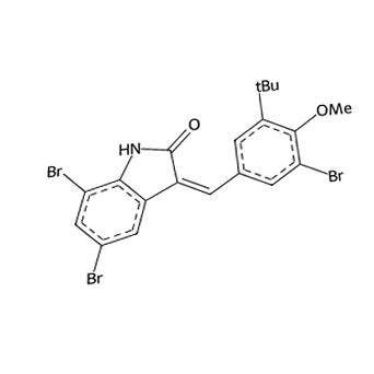 COc1c(Br)cc(C=C2C(=O)Nc3c(Br)cc(Br)cc32)cc1C(C)(C)C